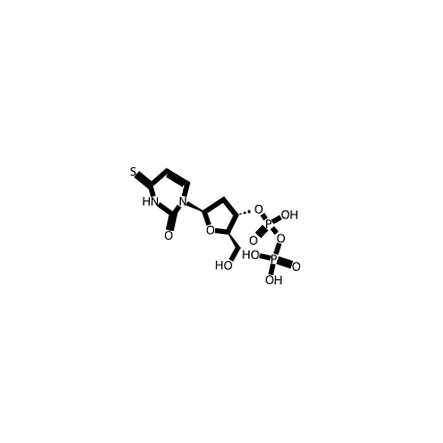 O=c1[nH]c(=S)ccn1[C@H]1C[C@H](OP(=O)(O)OP(=O)(O)O)[C@@H](CO)O1